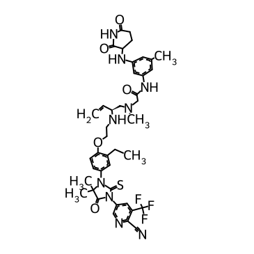 C=C[C@@H](CN(C)CC(=O)Nc1cc(C)cc(NC2CCC(=O)NC2=O)c1)NCCOc1ccc(N2C(=S)N(c3cnc(C#N)c(C(F)(F)F)c3)C(=O)C2(C)C)cc1CC